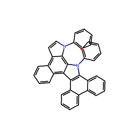 c1ccc(-n2ccc3c4ccccc4c4c5c6ccccc6c6ccccc6c5n(-c5ccccc5)c4c32)cc1